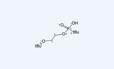 CC(C)(C)OCCOP(=O)(O)C(C)(C)C